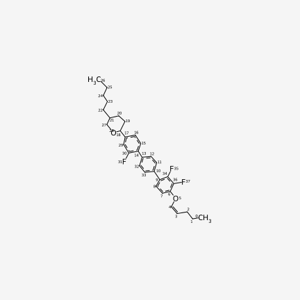 CCC/C=C\Oc1ccc(-c2ccc(-c3ccc(C4CCC(CCCCC)CO4)cc3F)cc2)c(F)c1F